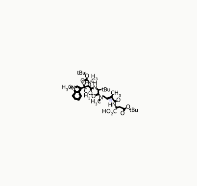 C/C(=C\CN(C)C(=O)C(NC(=O)[C@@H](N(C)C(=O)OC(C)(C)C)C(C)(C)c1cn(C)c2ccccc12)C(C)(C)C)C(=O)N[C@@H](CC(=O)OC(C)(C)C)C(=O)O